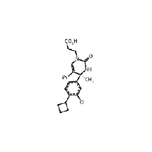 CC(C)C1=CN(CCC(=O)O)C(=O)N[C@@]1(C)c1ccc(C2CCC2)c(Cl)c1